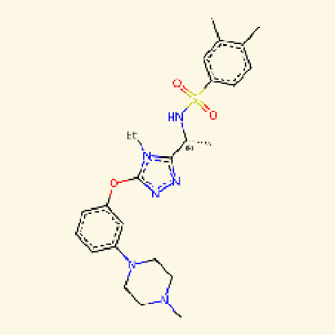 CCn1c(Oc2cccc(N3CCN(C)CC3)c2)nnc1[C@@H](C)NS(=O)(=O)c1ccc(C)c(C)c1